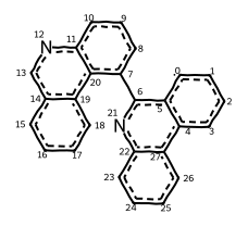 [c]1cccc2c1c(-c1cccc3ncc4ccccc4c13)nc1ccccc12